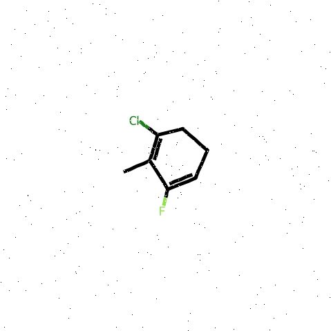 CC1=C(Cl)CCC=C1F